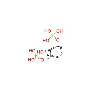 CCCC.O=P(O)(O)O.O=P(O)(O)O.c1ccccc1